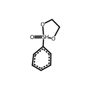 O=[SH]1(c2ccccc2)OCCO1